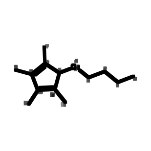 CCC[CH2][Ga][CH]1C(C)=C(C)C(C)=C1C